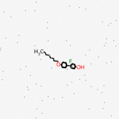 CCCCCCCCOc1ccc(-c2ccc(O)cc2F)cc1